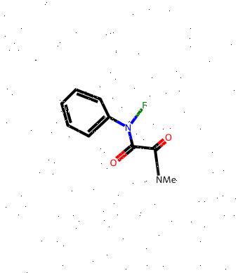 CNC(=O)C(=O)N(F)c1ccccc1